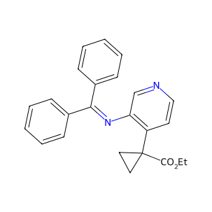 CCOC(=O)C1(c2ccncc2N=C(c2ccccc2)c2ccccc2)CC1